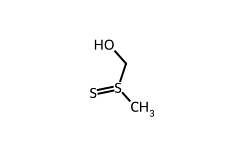 CS(=S)CO